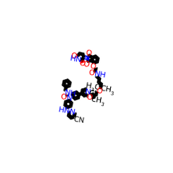 CC(C)(CCCCNC(=O)COc1cccc2c1C(=O)N(C1CCC(=O)NC1=O)C2=O)OCCC(C)(C)Oc1cc(-c2ccc(N(C(=O)NCc3ccccc3)[C@H]3CC[C@H](Nc4ccc(C#N)cn4)CC3)cc2)ccn1